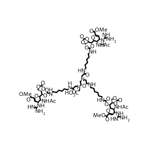 COC(=O)C1=C[C@H](NC(=N)N)[C@@H](NC(C)=O)C([C@H](OC(=O)NCCCCCCNC(=O)CN(CCN(CC(=O)O)CC(=O)NCCCCCCNC(=O)O[C@@H]([C@@H]2OC(C(=O)OC)=C[C@H](NC(=N)N)[C@H]2NC(C)=O)[C@H]2COC(=O)O2)CC(=O)NCCCCCCNC(=O)O[C@@H]([C@@H]2OC(C(=O)OC)=C[C@H](NC(=N)N)[C@H]2NC(C)=O)[C@H]2COC(=O)O2)[C@H]2COC(=O)O2)O1